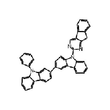 c1ccc(-n2c3ccccc3c3ccc(-c4ccc5c(c4)c4ccccc4n5-c4ncc5c(n4)Cc4ccccc4-5)cc32)cc1